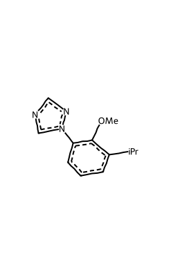 COc1c(C(C)C)cccc1-n1cncn1